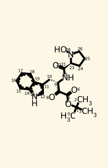 CC(C)(C)OC(=O)C(=O)[C@H](Cc1c[nH]c2ccccc12)NC(=O)[C@@H]1CCCN1O